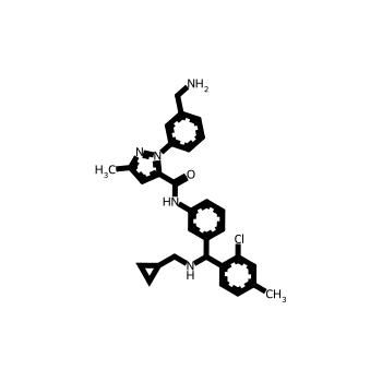 Cc1ccc(C(NCC2CC2)c2cccc(NC(=O)c3cc(C)nn3-c3cccc(CN)c3)c2)c(Cl)c1